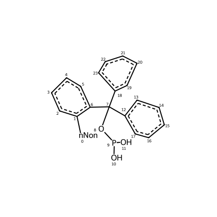 CCCCCCCCCc1ccccc1C(OP(O)O)(c1ccccc1)c1ccccc1